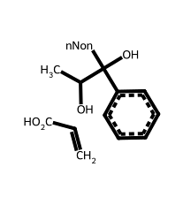 C=CC(=O)O.CCCCCCCCCC(O)(c1ccccc1)C(C)O